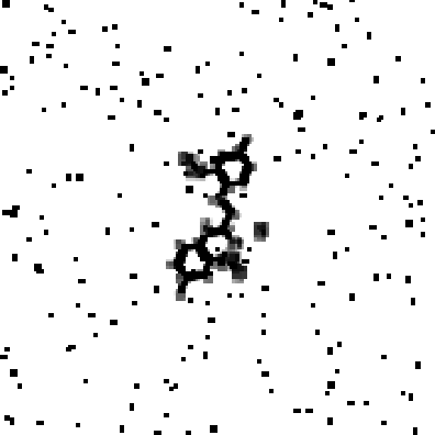 CCNc1cc(C)ccc1N=CC(CC)=Nc1ccc(C)cc1NCC.[Ni]